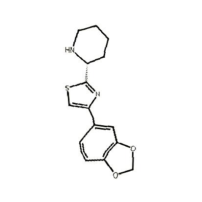 c1cc2c(cc1-c1csc([C@H]3CCCCN3)n1)OCO2